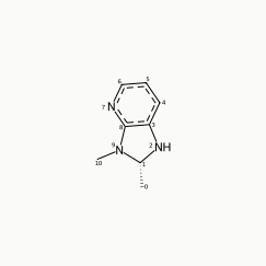 C[C@H]1Nc2cccnc2N1C